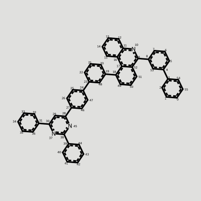 c1ccc(-c2cccc(-c3nc4ccccc4c4c(-c5cccc(-c6ccc(-c7cc(-c8ccccc8)nc(-c8ccccc8)n7)cc6)c5)cccc34)c2)cc1